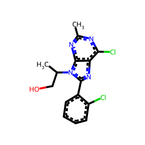 Cc1nc(Cl)c2nc(-c3ccccc3Cl)n(C(C)CO)c2n1